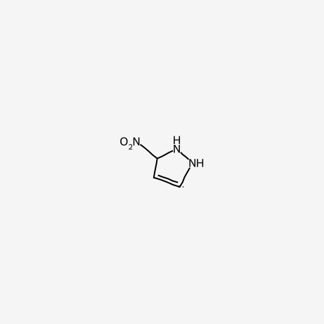 O=[N+]([O-])C1C=[C]NN1